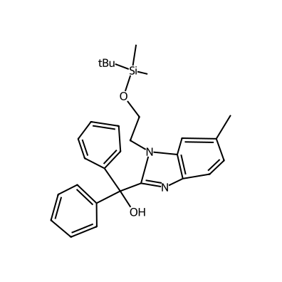 Cc1ccc2nc(C(O)(c3ccccc3)c3ccccc3)n(CCO[Si](C)(C)C(C)(C)C)c2c1